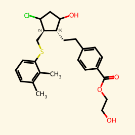 Cc1cccc(SC[C@H]2C(Cl)CC(O)[C@@H]2CCc2ccc(C(=O)OCCO)cc2)c1C